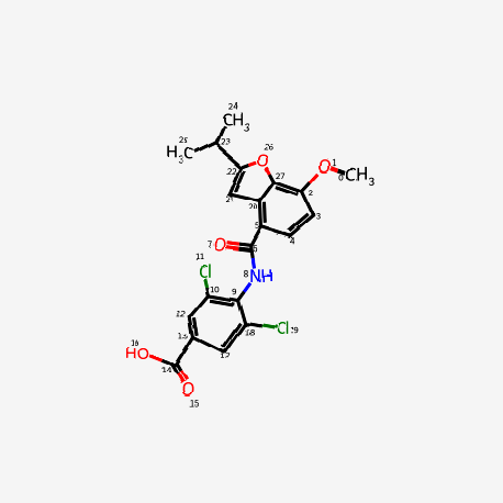 COc1ccc(C(=O)Nc2c(Cl)cc(C(=O)O)cc2Cl)c2cc(C(C)C)oc12